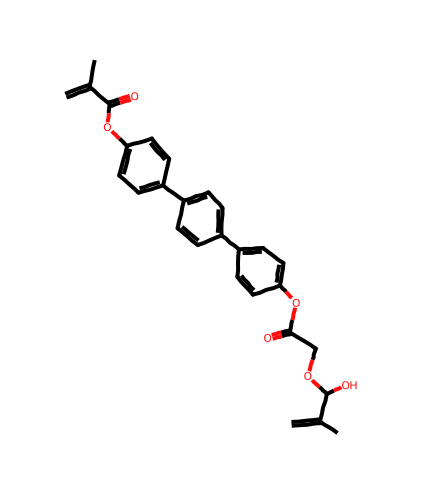 C=C(C)C(=O)Oc1ccc(-c2ccc(-c3ccc(OC(=O)COC(O)C(=C)C)cc3)cc2)cc1